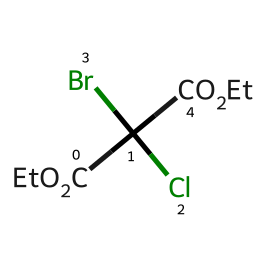 CCOC(=O)C(Cl)(Br)C(=O)OCC